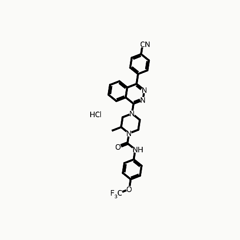 CC1CN(c2nnc(-c3ccc(C#N)cc3)c3ccccc23)CCN1C(=O)Nc1ccc(OC(F)(F)F)cc1.Cl